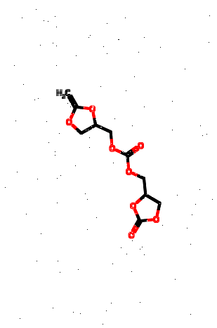 C=C1OCC(COC(=O)OCC2COC(=O)O2)O1